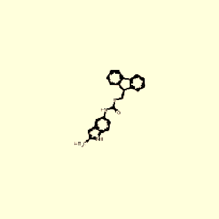 O=C(Nc1ccc2[nH]c(C(=O)O)cc2c1)OCC1c2ccccc2-c2ccccc21